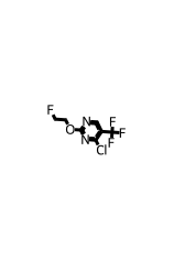 FCCOc1ncc(C(F)(F)F)c(Cl)n1